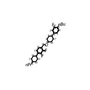 CCCCc1ccc(C2CCC(OCc3ccc(C4CCC(CCC)CC4)c(F)c3F)CC2)cc1F